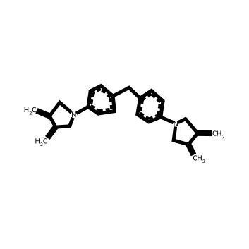 C=C1CN(c2ccc(Cc3ccc(N4CC(=C)C(=C)C4)cc3)cc2)CC1=C